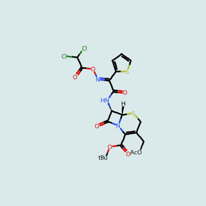 CC(=O)OCC1=C(C(=O)OC(C)(C)C)N2C(=O)[C@@H](NC(=O)C(=NOC(=O)C(Cl)Cl)c3cccs3)[C@@H]2SC1